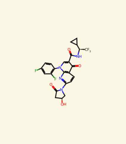 O=C(N[C@@H](C1CC1)C(F)(F)F)c1cn(-c2ccc(F)cc2F)c2nc(N3C[C@@H](O)CC3=O)ccc2c1=O